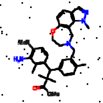 CNc1ccc(C(c2ccc(C)c(CN3CCOc4ccc5cnn(C)c5c4C3)c2)C(C)(C)C(=O)OC)c(C)c1N